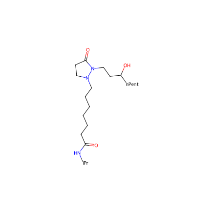 CCCCCC(O)CCN1C(=O)CCN1CCCCCCC(=O)NC(C)C